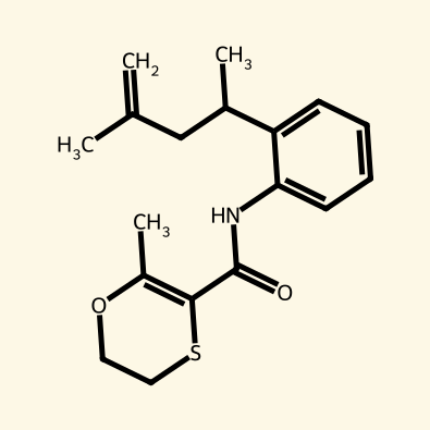 C=C(C)CC(C)c1ccccc1NC(=O)C1=C(C)OCCS1